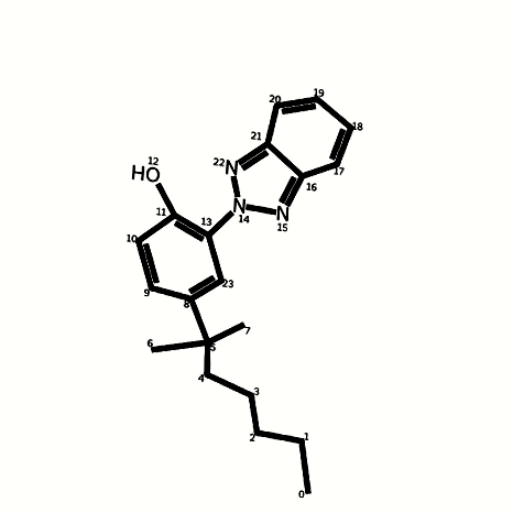 CCCCCC(C)(C)c1ccc(O)c(-n2nc3ccccc3n2)c1